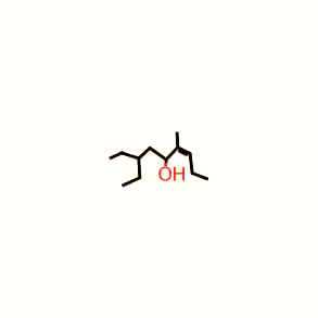 CCC=C(C)C(O)CC(CC)CC